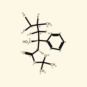 CC1(C)OC(=O)[C@H]([C@@](C(=O)O)(c2ccccc2)C(F)(F)C(C)(F)C(F)F)O1